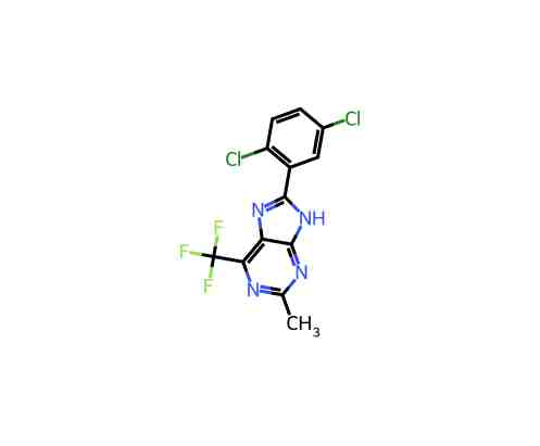 Cc1nc(C(F)(F)F)c2nc(-c3cc(Cl)ccc3Cl)[nH]c2n1